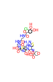 Nc1nc(/C(=N/OC2(C(=O)O)CCOCC2)C(=O)N[C@@H]2C(=O)N3C[C@@](C(=O)O)(N4CCN(NC(=O)CCNC(=O)C(=O)c5ccc(O)c(O)c5Cl)C4=O)S[C@H]23)cs1